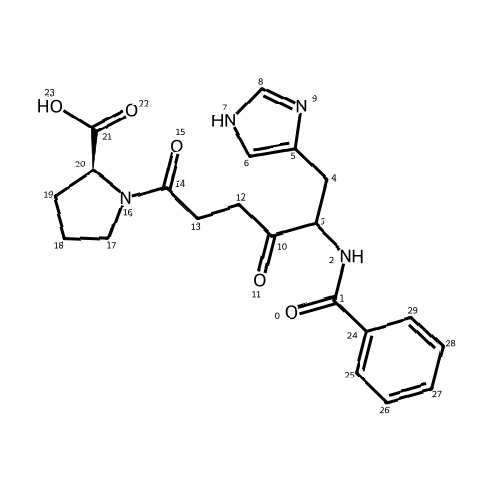 O=C(NC(Cc1c[nH]cn1)C(=O)CCC(=O)N1CCC[C@H]1C(=O)O)c1ccccc1